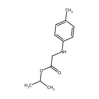 Cc1ccc(NCC(=O)OC(C)C)cc1